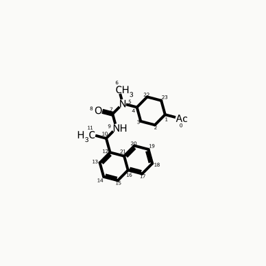 CC(=O)C1CCC(N(C)C(=O)NC(C)c2cccc3ccccc23)CC1